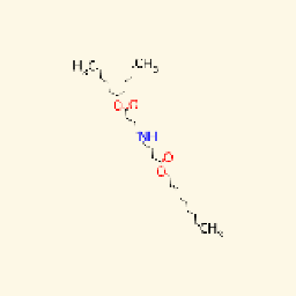 CCCCCCC=CCOC(=O)CCCNCCCC(=O)OC(CCCCC)CCCCC